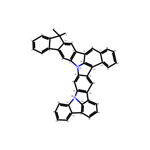 CC1(C)c2ccccc2-c2cc3c(cc21)c1cc2ccccc2c2c4cc5c6cccc7c8ccccc8n(c5cc4n3c12)c76